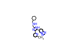 Cc1cccc(-c2nc(CNCC3CCCCC3)[nH]c2-c2ccc3ncnn3c2)n1